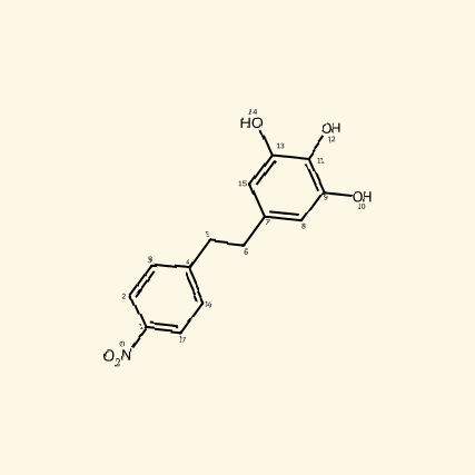 O=[N+]([O-])c1ccc(CCc2cc(O)c(O)c(O)c2)cc1